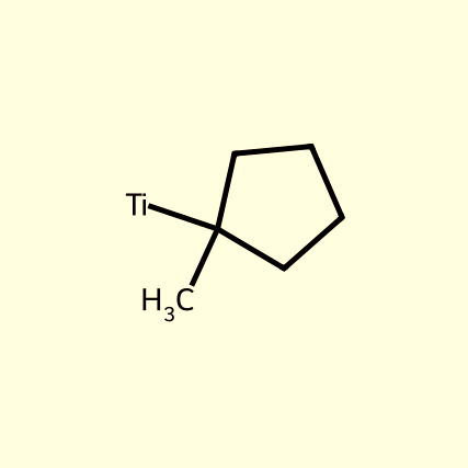 C[C]1([Ti])CCCC1